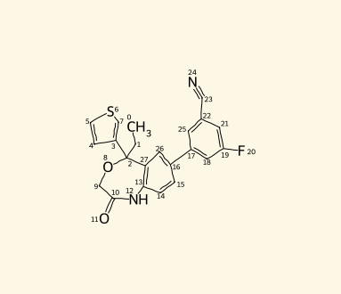 CCC1(c2ccsc2)OCC(=O)Nc2ccc(-c3cc(F)cc(C#N)c3)cc21